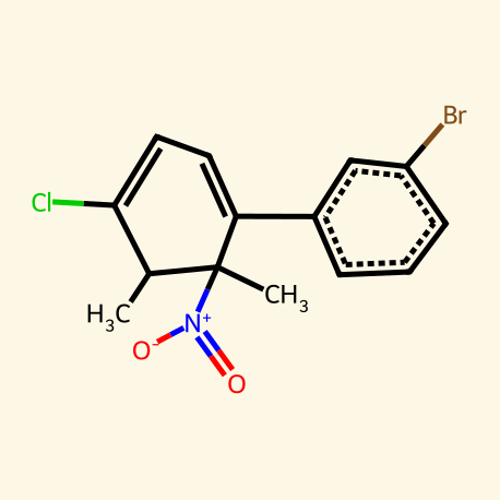 CC1C(Cl)=CC=C(c2cccc(Br)c2)C1(C)[N+](=O)[O-]